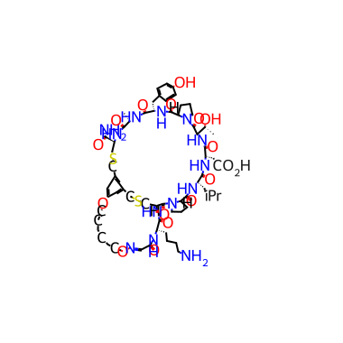 CC(C)C[C@@H]1NC(=O)[C@@H]2CCCN2C(=O)[C@@H]2CSCc3cc(cc(c3)OCCCCCCO/N=C/C(=O)N[C@@H](CCCCN)C(=O)N2)CSC[C@@H](C(N)=O)NC(=O)[C@H](C)NC(=O)[C@H](Cc2ccc(O)cc2)NC(=O)[C@@H]2CCCN2C(=O)[C@H]([C@@H](C)O)NC(=O)[C@H](CC(=O)O)NC1=O